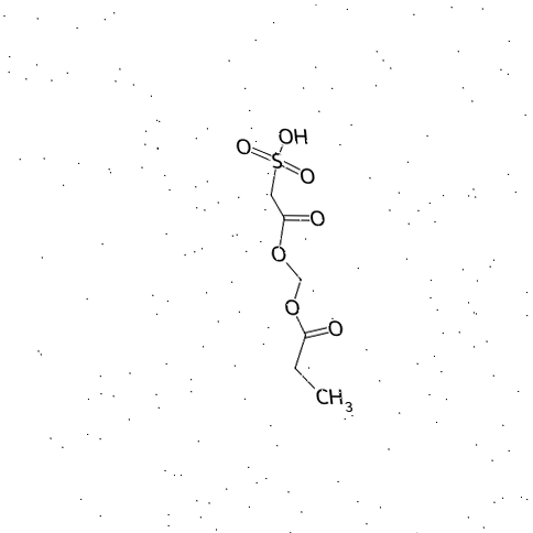 CCC(=O)OCOC(=O)CS(=O)(=O)O